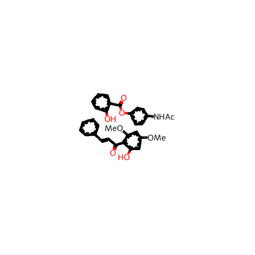 CC(=O)Nc1ccc(OC(=O)c2ccccc2O)cc1.COc1cc(O)c(C(=O)C=Cc2ccccc2)c(OC)c1